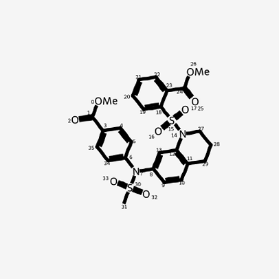 COC(=O)c1ccc(N(c2ccc3c(c2)N(S(=O)(=O)c2ccccc2C(=O)OC)CCC3)S(C)(=O)=O)cc1